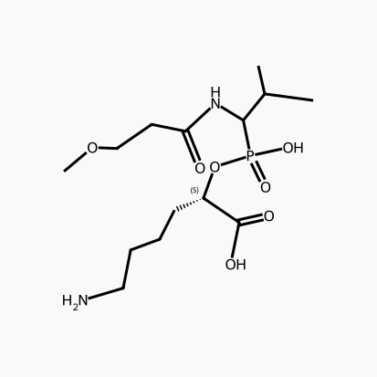 COCCC(=O)NC(C(C)C)P(=O)(O)O[C@@H](CCCCN)C(=O)O